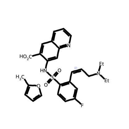 CCN(CC)C/C=C\c1cc(F)ccc1S(=O)(=O)Nc1cc2ncccc2cc1C(=O)O.Cc1ccco1